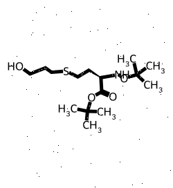 CC(C)(C)ON[C@H](CCSCCCO)C(=O)OC(C)(C)C